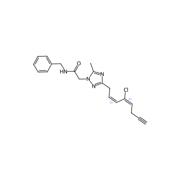 C#CC/C=C(Cl)\C=C/Cc1nc(C)n(CC(=O)NCc2ccccc2)n1